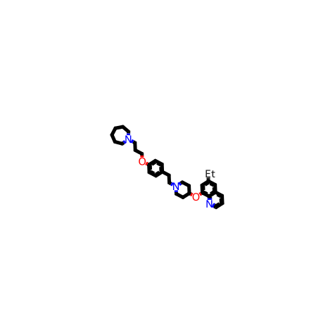 CCc1cc(OC2CCN(CCc3ccc(OCCCN4CCCCCC4)cc3)CC2)c2ncccc2c1